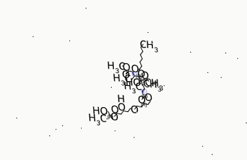 CCCCCCCC(=O)O[C@@H](/C(=C/C(=O)OC)CC)[C@@](O)(C(C)=O)C(C)(C)/C=C/[C@H]1OCC[C@@H](CCOCCC(O)CC(=O)O[C@H](CC)CO)O1